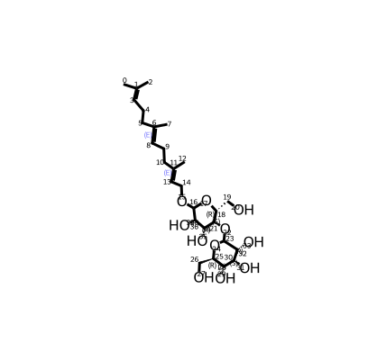 CC(C)=CCC/C(C)=C/CC/C(C)=C/COC1O[C@H](CO)[C@@H](OC2O[C@H](CO)[C@@H](O)[C@H](O)[C@H]2O)[C@H](O)[C@H]1O